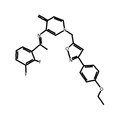 C=C1C=CN(Cc2cc(-c3ccc(OCC)cc3)no2)C=C1/N=C(\C)c1cccc(F)c1F